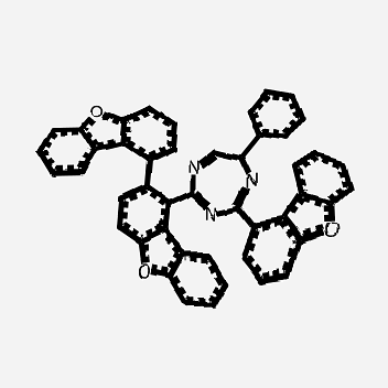 C1=NC(c2c(-c3cccc4oc5ccccc5c34)ccc3oc4ccccc4c23)=NC(c2cccc3oc4ccccc4c23)=NC1c1ccccc1